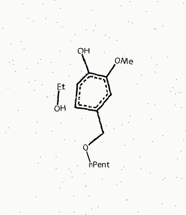 CCCCCOCc1ccc(O)c(OC)c1.CCO